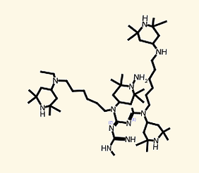 CCN(CCCCCCN(C(=N/C(=N)NC)/N=C(\C)N(CCCCCCNC1CC(C)(C)NC(C)(C)C1)C1CC(C)(C)NC(C)(C)C1)C1CC(C)(C)N(N)C(C)(C)C1)C1CC(C)(C)NC(C)(C)C1